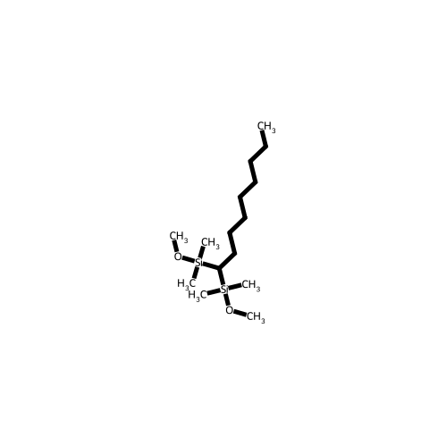 CCCCCCCCC([Si](C)(C)OC)[Si](C)(C)OC